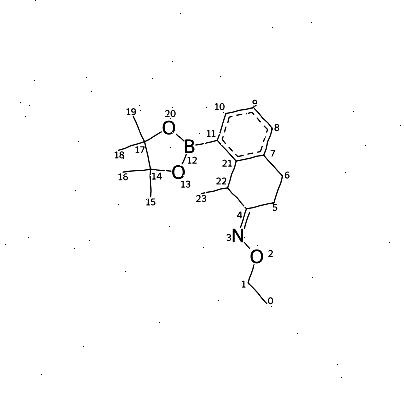 CCON=C1CCc2cccc(B3OC(C)(C)C(C)(C)O3)c2C1C